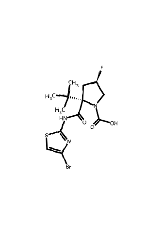 CC(C)(C)[C@]1(C(=O)Nc2nc(Br)cs2)C[C@@H](F)CN1C(=O)O